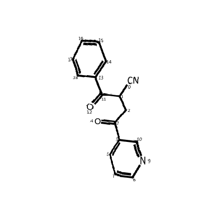 N#CC(CC(=O)c1cccnc1)C(=O)c1ccccc1